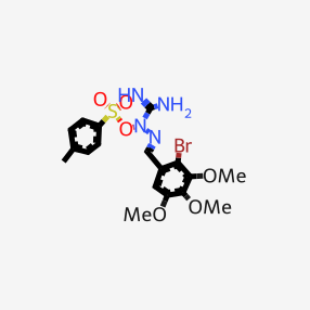 COc1cc(C=NN(OS(=O)(=O)c2ccc(C)cc2)C(=N)N)c(Br)c(OC)c1OC